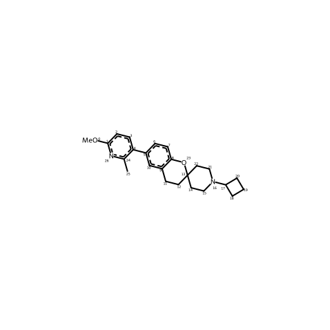 COc1ccc(-c2ccc3c(c2)CCC2(CCN(C4CCC4)CC2)O3)c(C)n1